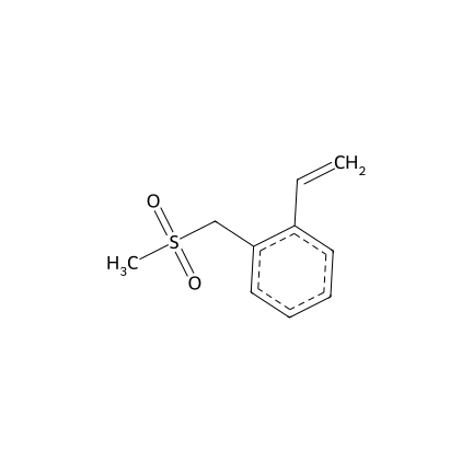 C=Cc1ccccc1CS(C)(=O)=O